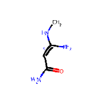 CN/C(N)=C/C(N)=O